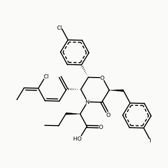 C=C(/C=C\C(Cl)=C/C)[C@@H]1[C@H](c2ccc(Cl)cc2)O[C@@H](Cc2ccc(I)cc2)C(=O)N1[C@H](CCC)C(=O)O